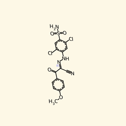 COc1ccc(C(=O)/C(C#N)=N/Nc2cc(Cl)c(S(N)(=O)=O)cc2Cl)cc1